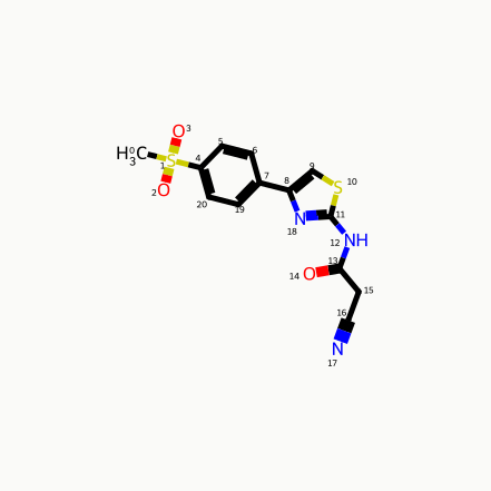 CS(=O)(=O)c1ccc(-c2csc(NC(=O)CC#N)n2)cc1